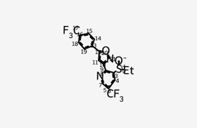 CC[S+]([O-])c1cc(C(F)(F)F)cnc1-c1cc(-c2ccc(C(F)(F)F)cc2)on1